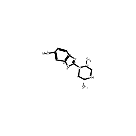 COc1ccc2nc(N3C[C@@H](C)NC[C@@H]3C)sc2c1